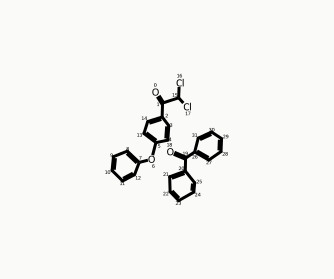 O=C(c1ccc(Oc2ccccc2)cc1)C(Cl)Cl.O=C(c1ccccc1)c1ccccc1